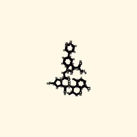 Cc1ccc(Cl)c2c1C(NC(=O)C1CC(F)CN1C(=O)Cn1nc(C(N)=O)c3cc(-c4ccnnc4)ccc31)C(C)CO2